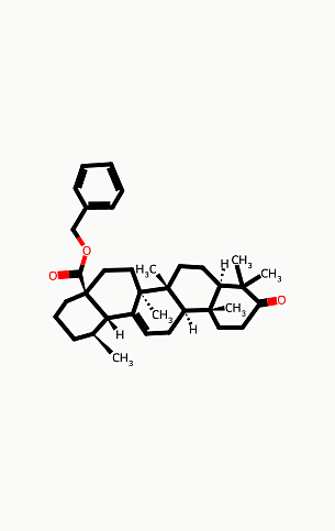 C[C@H]1CCC[C@]2(C(=O)OCc3ccccc3)CC[C@]3(C)C(=CC[C@@H]4[C@@]5(C)CCC(=O)C(C)(C)[C@@H]5CC[C@]43C)[C@H]12